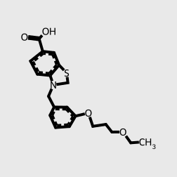 CCOCCCOc1cccc(CN2CSc3cc(C(=O)O)ccc32)c1